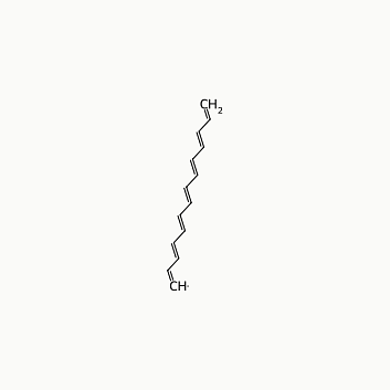 [CH]=CC=CC=CC=CC=CC=CC=C